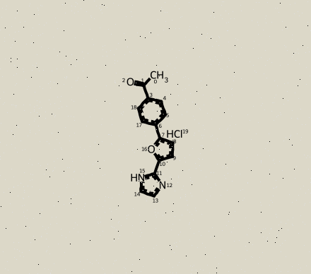 CC(=O)c1ccc(-c2ccc(-c3ncc[nH]3)o2)cc1.Cl